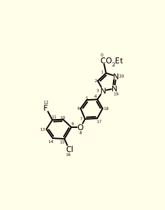 CCOC(=O)c1cn(-c2ccc(Oc3cc(F)ccc3Cl)cc2)nn1